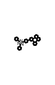 c1ccc(-c2nc(-c3ccccc3)nc(-c3ccc(-c4ccc5c(c4)-c4ccccc4-c4cccc6cccc-5c46)cc3)n2)cc1